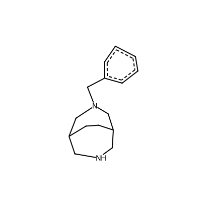 c1ccc(CN2CC3CCC(CNC3)C2)cc1